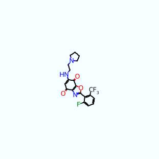 O=C1C=C(NCCN2CCCC2)C(=O)c2oc(-c3c(F)cccc3C(F)(F)F)nc21